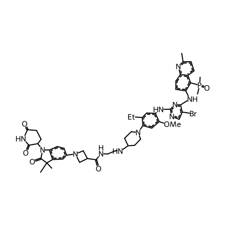 CCc1cc(Nc2ncc(Br)c(Nc3ccc4nc(C)ccc4c3P(C)(C)=O)n2)c(OC)cc1N1CCC(NCCNC(=O)C2CN(c3ccc4c(c3)C(C)(C)C(=O)N4C3CCC(=O)NC3=O)C2)CC1